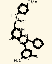 COc1ccc(N[S+]([O-])Cc2cc(=O)c3nc(-c4cc(C)nc(Cl)c4)c(-c4ccccc4)nc3[nH]2)cc1